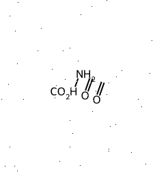 C=O.C=O.NC(=O)O